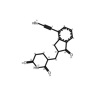 CCCCC#Cc1cccc2c1CC(CC1CCC(=O)NC1=O)C2=O